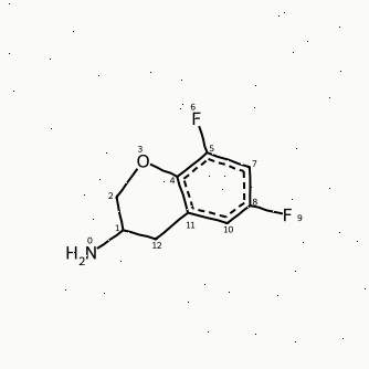 NC1COc2c(F)cc(F)cc2C1